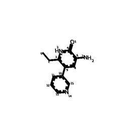 CCc1[nH]c(=O)c(N)cc1-c1cccnc1